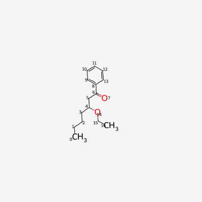 CCCCC(CC(=O)c1ccccc1)OCC